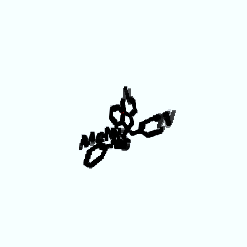 CN[N+]1(Nc2ccccc2)C(=O)C(Cc2ccncc2)(Cc2ccncc2)c2ccccc21